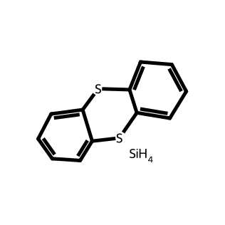 [SiH4].c1ccc2c(c1)Sc1ccccc1S2